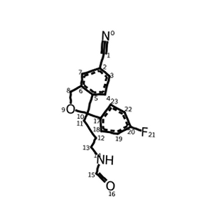 N#Cc1ccc2c(c1)COC2(CCCNC=O)c1ccc(F)cc1